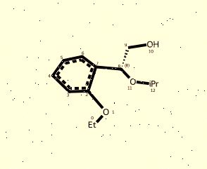 CCOc1ccccc1[C@H](CO)OC(C)C